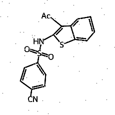 CC(=O)c1c(NS(=O)(=O)c2ccc(C#N)cc2)sc2ccccc12